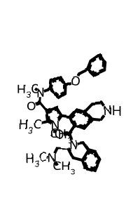 Cc1c(C(=O)N(C)c2ccc(OCc3ccccc3)cc2)cc(-c2cc3c(cc2C(=O)N2Cc4ccccc4C[C@H]2CN(C)C)CNCC3)n1C